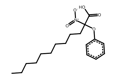 CCCCCCCCCCC(Oc1ccccc1)(C(=O)O)[N+](=O)[O-]